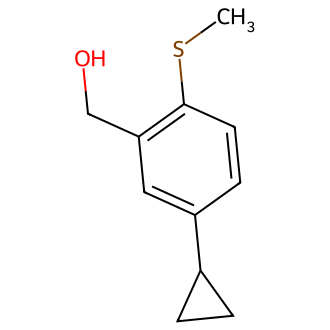 CSc1ccc(C2CC2)cc1CO